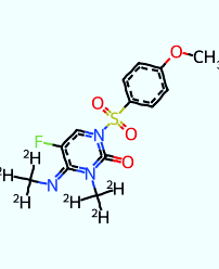 [2H]C([2H])([2H])N=c1c(F)cn(S(=O)(=O)c2ccc(OC)cc2)c(=O)n1C([2H])([2H])[2H]